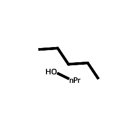 CCCCC.[CH2]CCO